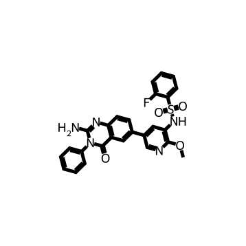 COc1ncc(-c2ccc3nc(N)n(-c4ccccc4)c(=O)c3c2)cc1NS(=O)(=O)c1ccccc1F